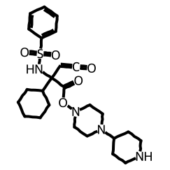 O=C=CC(NS(=O)(=O)c1ccccc1)(C(=O)ON1CCN(C2CCNCC2)CC1)C1CCCCC1